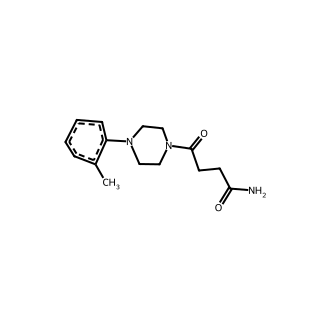 Cc1ccccc1N1CCN(C(=O)CCC(N)=O)CC1